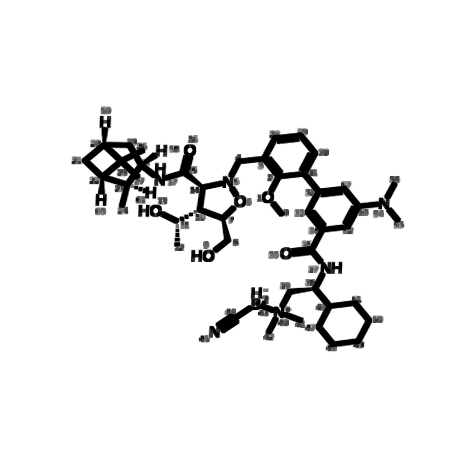 COc1c(CN2O[C@@H](CO)[C@H]([C@H](C)O)[C@H]2C(=O)N[C@H]2C[C@H]3C[C@@H]([C@@H]2C)C3(C)C)cccc1-c1cc(C(=O)N[C@H](C[N+](C)(C)[BH2-]C#N)C2CCCCC2)cc(N(C)C)c1